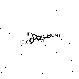 COC1CC(COc2cc3c(cc2Cl)-c2cc(=O)c(C(=O)O)cn2C(C(C)C)C3)C1